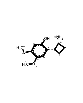 COc1cc(O)c([C@H]2CC[C@H]2N)cc1OC